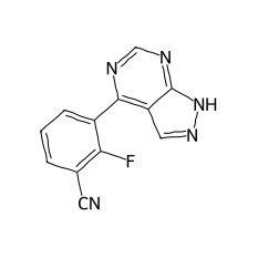 N#Cc1cccc(-c2ncnc3[nH]ncc23)c1F